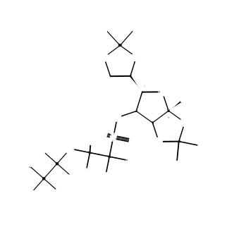 CC1(C)OCC([C@H]2O[C@@H]3OC(C)(C)OC3C2OS(=O)(=O)C(F)(F)C(F)(F)OC(F)(F)C(F)(F)I)O1